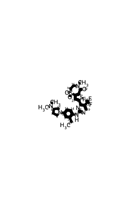 CCc1cc(N2CC[C@H](N(C)C)C2)ccc1Nc1ncc(C(F)(F)F)c(-c2cc3c(s2)C(=O)N(C)CCS3(=O)=O)n1